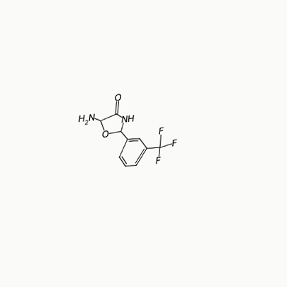 NC1OC(c2cccc(C(F)(F)F)c2)NC1=O